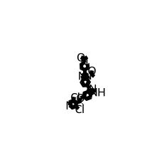 CC(=O)N1CCC(c2nc3ccc(-c4n[nH]c5ccc(O[C@H](C)c6c(Cl)cncc6Cl)cc45)cc3n2C(C)=O)CC1